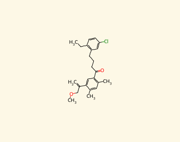 C=C(COC)c1cc(C(=O)CCCc2cc(Cl)ccc2CC)c(C)cc1C